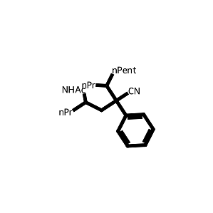 CCCCCC(CCC)C(C#N)(CC(CCC)NC(C)=O)c1ccccc1